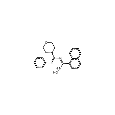 Cl.NC(=NC(=Nc1ccccc1)N1CCOCC1)c1cccc2ccccc12